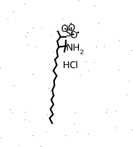 CCCCCCCCCCCCCCCCC(CC(C)C[Si](OC)(OC)OC)C(C)(C)N.Cl